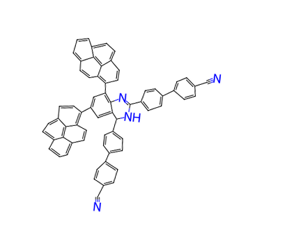 N#Cc1ccc(-c2ccc(C3=Nc4c(-c5ccc6ccc7cccc8ccc5c6c78)cc(-c5ccc6ccc7cccc8ccc5c6c78)cc4C(c4ccc(-c5ccc(C#N)cc5)cc4)N3)cc2)cc1